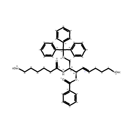 CCCCCCCCCCCCC/C=C/[C@@H](OC(=O)c1ccccc1)[C@H](COC(c1ccccc1)(c1ccccc1)c1ccccc1)NC(=O)CCCCCCCCCCCCCCC